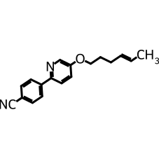 CC=CCCCOc1ccc(-c2ccc(C#N)cc2)nc1